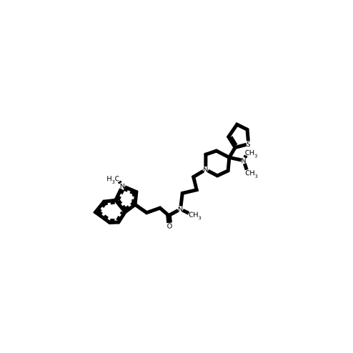 CN(CCCN1CCC(C2=CCCS2)(N(C)C)CC1)C(=O)CCc1cn(C)c2ccccc12